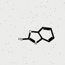 SC1=NC2C=CC=CC2O1